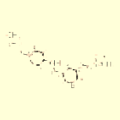 CCCCc1ccc(NCc2cccc(NSC(C)C)c2)cc1